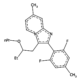 CCCOC(CC)Cc1c(-c2c(F)cc(C)cc2F)nc2cc(C)ccn12